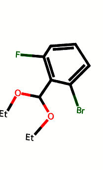 CCOC(OCC)c1c(F)cccc1Br